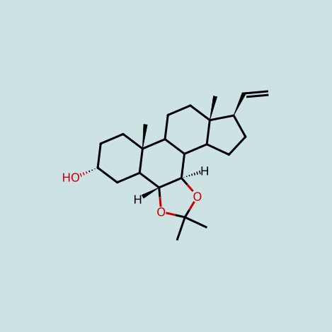 C=C[C@H]1CCC2C3C(CC[C@@]21C)[C@@]1(C)CC[C@@H](O)CC1[C@H]1OC(C)(C)O[C@H]31